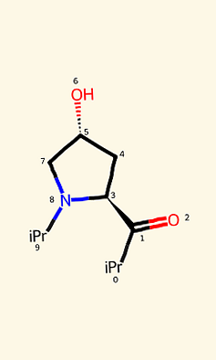 CC(C)C(=O)[C@@H]1C[C@@H](O)CN1C(C)C